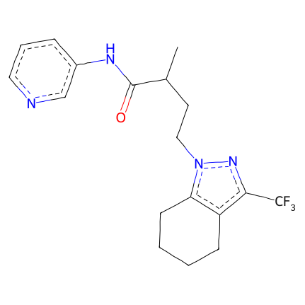 CC(CCn1nc(C(F)(F)F)c2c1CCCC2)C(=O)Nc1cccnc1